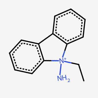 CC[N+]1(N)c2ccccc2-c2ccccc21